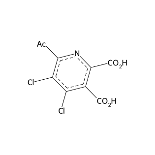 CC(=O)c1nc(C(=O)O)c(C(=O)O)c(Cl)c1Cl